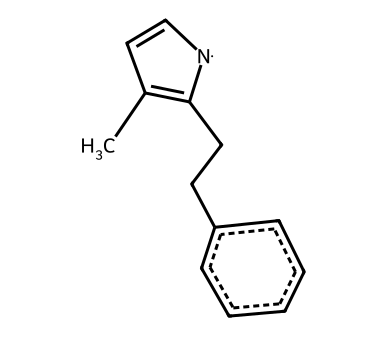 CC1=C(CCc2ccccc2)[N]C=C1